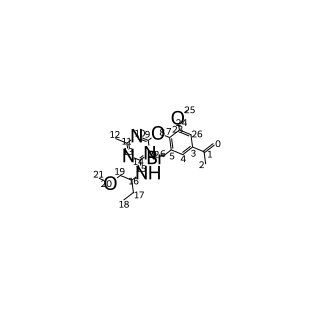 C=C(C)c1cc(Br)c(Oc2nc(C)nc(NC(CC)COC)n2)c(OC)c1